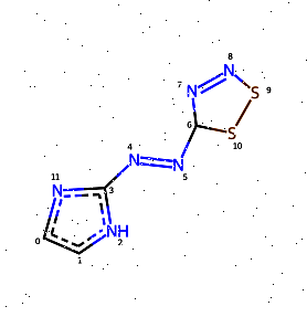 c1c[nH]c(N=NC2N=NSS2)n1